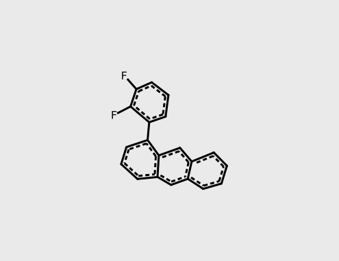 Fc1cccc(-c2cccc3cc4ccccc4cc23)c1F